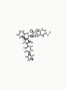 CCc1ccc2oc(C(=O)NC(Cc3ccccn3)c3ncc(-c4ccc(-n5ccnc5)cc4)n3C)cc2c1